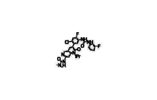 CC(C)n1c(=O)c(-c2cc(NC(=O)Nc3cccc(F)c3)c(F)cc2Cl)cc2cnc(NC(=O)N(C)C)cc21